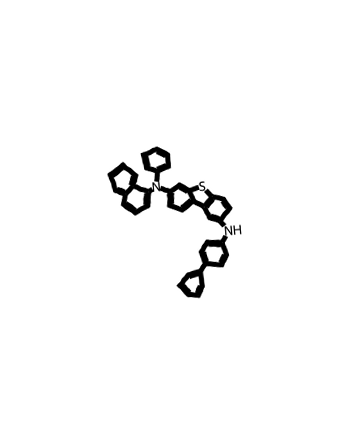 c1ccc(-c2ccc(Nc3ccc4sc5cc(N(c6ccccc6)c6cccc7ccccc67)ccc5c4c3)cc2)cc1